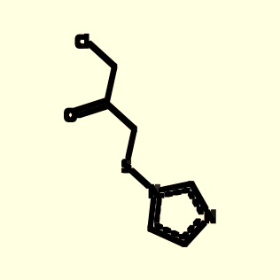 O=C(CCl)CSn1ccnc1